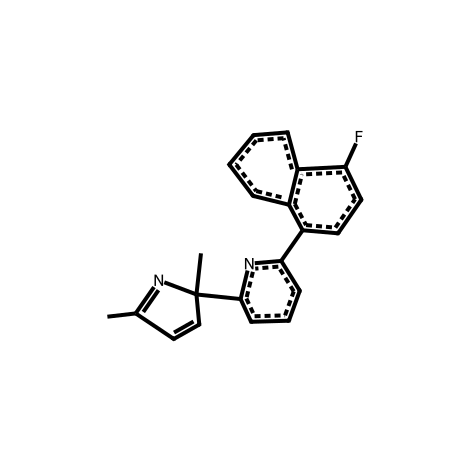 CC1=NC(C)(c2cccc(-c3ccc(F)c4ccccc34)n2)C=C1